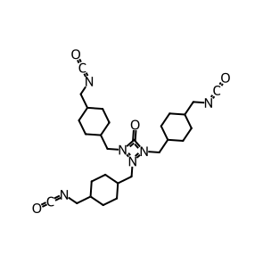 O=C=NCC1CCC(Cn2c(=O)n(CC3CCC(CN=C=O)CC3)n2CC2CCC(CN=C=O)CC2)CC1